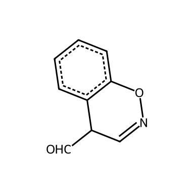 O=CC1C=NOc2ccccc21